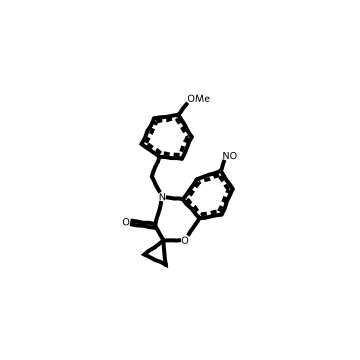 COc1ccc(CN2C(=O)C3(CC3)Oc3ccc(N=O)cc32)cc1